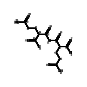 O=C(O)CCC(C(=O)Cl)C(=O)OC(=O)C(CCC(=O)O)C(=O)Cl